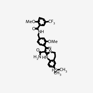 COc1ccc(C(F)(F)F)cc1C(=O)NCc1ccc(-c2nn3c(c2C(N)=O)Nc2ccc([SH](C)C)cc2CC3)c(OC)c1